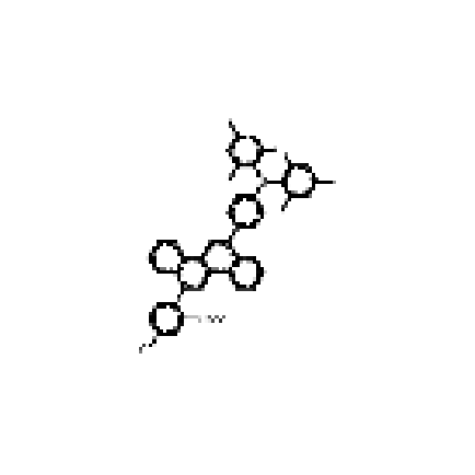 COc1cc(Cl)ccc1-c1cc2c3ccccc3c(-c3ccc(B(c4c(C)cc(C)cc4C)c4c(C)cc(C)cc4C)cc3)cc2c2ccccc12